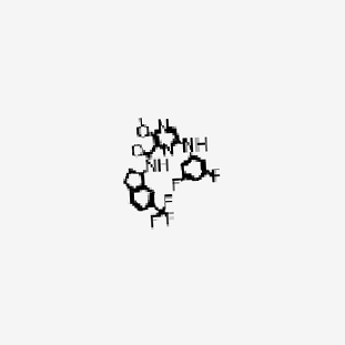 COc1ncc(Nc2cc(F)cc(F)c2)nc1C(=O)NC1CCc2ccc(C(F)(F)F)cc21